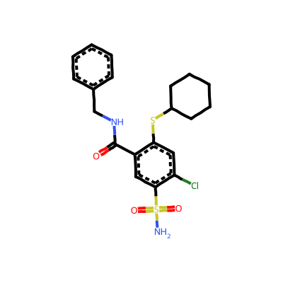 NS(=O)(=O)c1cc(C(=O)NCc2ccccc2)c(SC2CCCCC2)cc1Cl